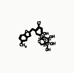 Cc1ccc2oc(Cc3cc([C@]45OC[C@](CO)(O4)[C@@H](O)[C@H](O)[C@H]5O)ccc3Cl)cc2c1